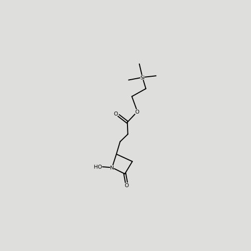 C[Si](C)(C)CCOC(=O)CCC1CC(=O)N1O